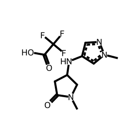 CN1CC(Nc2cnn(C)c2)CC1=O.O=C(O)C(F)(F)F